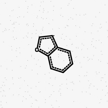 [c]1coc2ccccc12